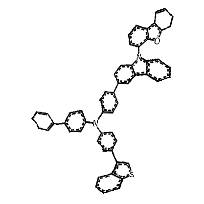 C1=CC(c2ccc(N(c3ccc(-c4ccc5c(c4)c4ccccc4n5-c4cccc5c6c(oc45)CCC=C6)cc3)c3ccc(-c4csc5ccccc45)cc3)cc2)=CCC1